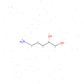 NCCC[C@H](O)CO